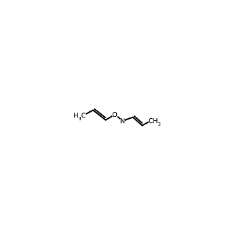 CC=C[N]OC=CC